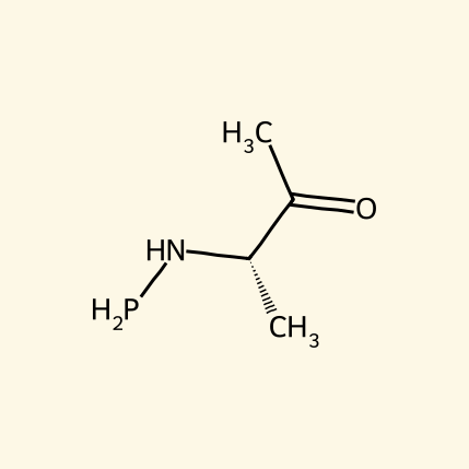 CC(=O)[C@H](C)NP